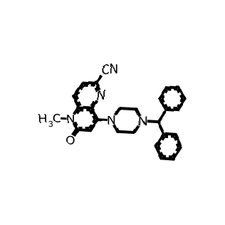 Cn1c(=O)cc(N2CCN(C(c3ccccc3)c3ccccc3)CC2)c2nc(C#N)ccc21